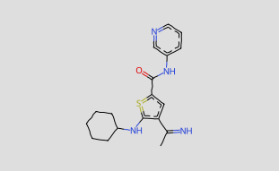 CC(=N)c1cc(C(=O)Nc2cccnc2)sc1NC1CCCCC1